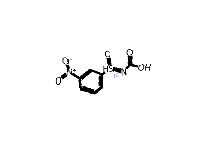 O=C(O)/N=[SH](=O)/c1cccc([N+](=O)[O-])c1